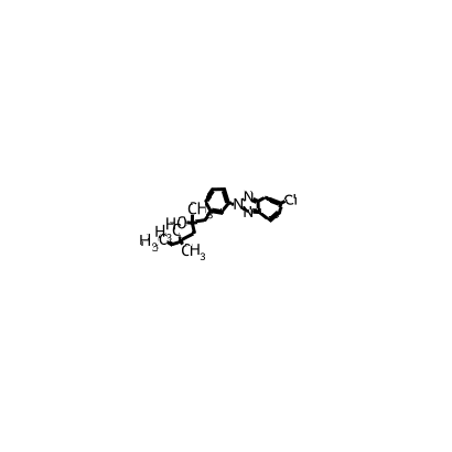 CCC(C)(C)CC(C)(O)Cc1cccc(-n2nc3ccc(Cl)cc3n2)c1